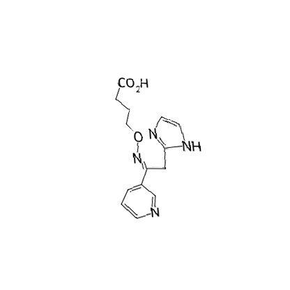 O=C(O)CCCON=C(Cc1ncc[nH]1)c1cccnc1